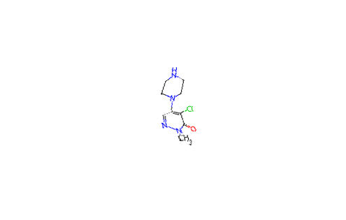 Cn1ncc(N2CCNCC2)c(Cl)c1=O